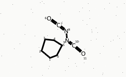 C1CCCCC1.O=C=NN=C=O